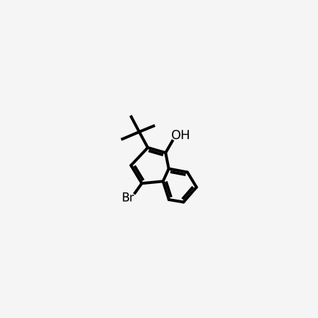 CC(C)(C)c1cc(Br)c2ccccc2c1O